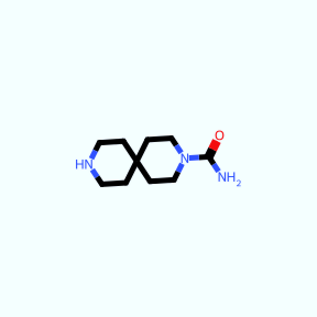 NC(=O)N1CCC2(CCNCC2)CC1